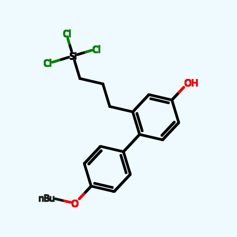 CCCCOc1ccc(-c2ccc(O)cc2CCC[Si](Cl)(Cl)Cl)cc1